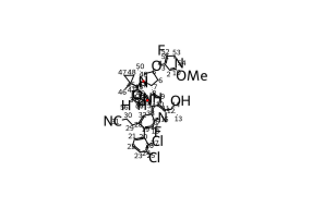 COc1cc(O[C@H]2C[C@H](c3cc4c([C@@H](C)O)nc5c(F)c(-c6cccc(Cl)c6Cl)c(CCC#N)cc5c4n3[C@H]3[C@H]4CN[C@@H]3C4)N(C(=O)C3(C)CC3)[C@@H]2C)c(F)cn1